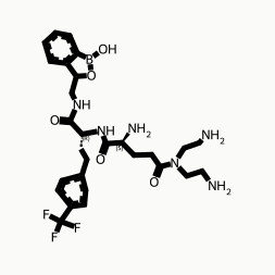 NCCN(CCN)C(=O)CC[C@H](N)C(=O)N[C@H](CCc1ccc(C(F)(F)F)cc1)C(=O)NCC1OB(O)c2ccccc21